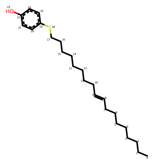 CCCCCCCCC=CCCCCCCCCSc1ccc(O)cc1